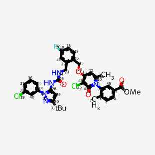 COC(=O)c1ccc(C)c(-n2c(C)cc(OCc3ccc(F)cc3CNC(=O)Nc3cc(C(C)(C)C)nn3-c3cccc(Cl)c3)c(Cl)c2=O)c1